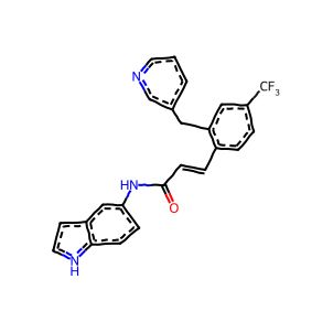 O=C(/C=C/c1ccc(C(F)(F)F)cc1Cc1cccnc1)Nc1ccc2[nH]ccc2c1